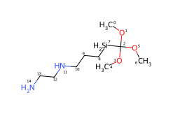 COC(OC)(OC)[SiH2]CCCNCCN